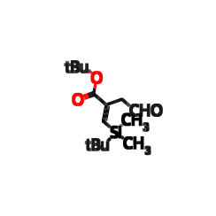 CC(C)(C)OC(=O)C(=C[Si](C)(C)C(C)(C)C)CC=O